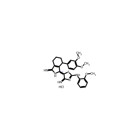 COc1ccccc1NC1=NC(=N)/C(=C2\NC(=N)C3=C2C(c2ccc(OC)c(OC)c2)CCC3)S1.Cl